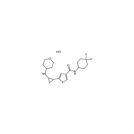 Cl.O=C(NC1CCC(F)(F)CC1)c1csc(C2CC2NC2CCOCC2)c1